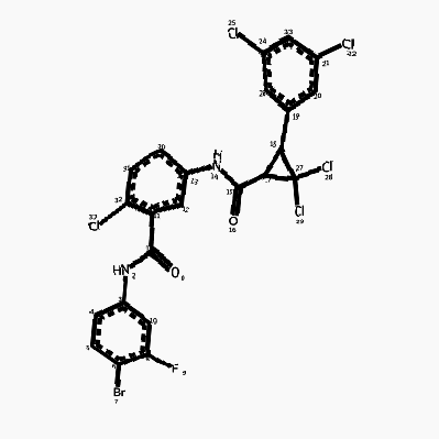 O=C(Nc1ccc(Br)c(F)c1)c1cc(NC(=O)C2C(c3cc(Cl)cc(Cl)c3)C2(Cl)Cl)ccc1Cl